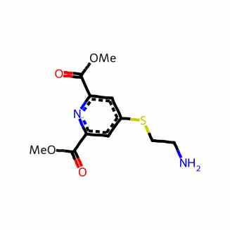 COC(=O)c1cc(SCCN)cc(C(=O)OC)n1